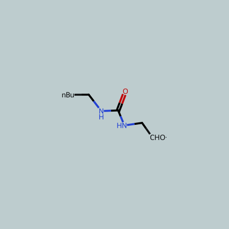 CCCCCNC(=O)NC[C]=O